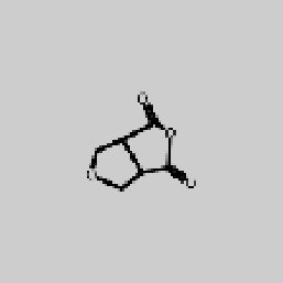 O=C1OC(=O)C2COCC12